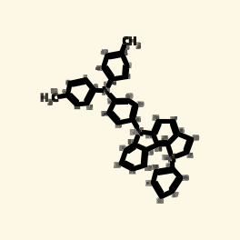 Cc1ccc(N(c2ccc(C)cc2)c2ccc(-n3c4ccccc4c4c5c(ccc43)ccn5-c3ccccc3)cc2)cc1